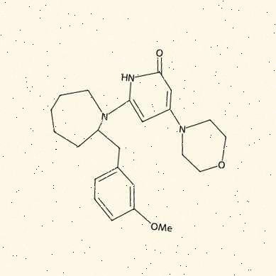 COc1cccc(CC2CCCCCN2c2cc(N3CCOCC3)cc(=O)[nH]2)c1